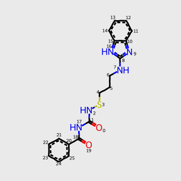 O=C(NSCCCNc1nc2ccccc2[nH]1)NC(=O)c1ccccc1